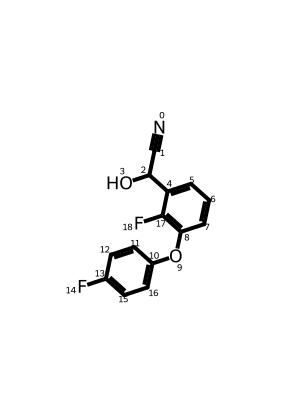 N#CC(O)c1cccc(Oc2ccc(F)cc2)c1F